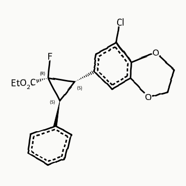 CCOC(=O)[C@@]1(F)[C@H](c2ccccc2)[C@H]1c1cc(Cl)c2c(c1)OCCO2